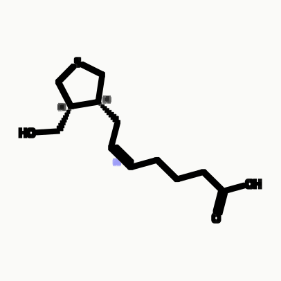 O=C(O)CCC/C=C\C[C@H]1CSC[C@H]1CO